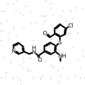 CNc1cc(C(=O)NCc2cccnc2)ccc1Sc1cc(Cl)ccc1C=O